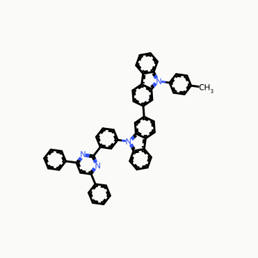 Cc1ccc(-n2c3ccccc3c3ccc(-c4ccc5c6ccccc6n(-c6cccc(-c7nc(-c8ccccc8)cc(-c8ccccc8)n7)c6)c5c4)cc32)cc1